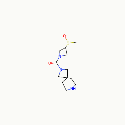 C[S+]([O-])C1CN(C(=O)N2CC3(CCNCC3)C2)C1